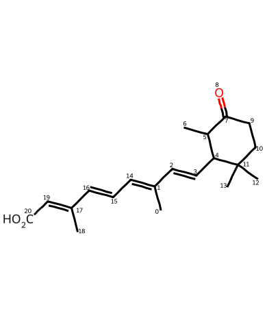 CC(/C=C/C1C(C)C(=O)CCC1(C)C)=C\C=C\C(C)=C\C(=O)O